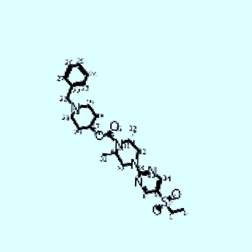 CCS(=O)(=O)c1cnc(N2C[C@@H](C)N(C(=O)OC3CCN(Cc4ccccc4)CC3)[C@H](C)C2)nc1